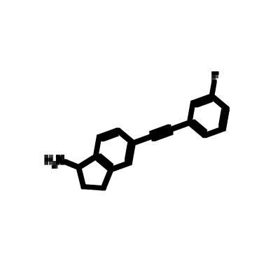 NC1CCc2cc(C#Cc3cccc(F)c3)ccc21